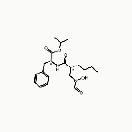 CCCC[C@H](CN(O)C=O)C(=O)N[C@@H](Cc1ccccc1)C(=O)OC(C)C